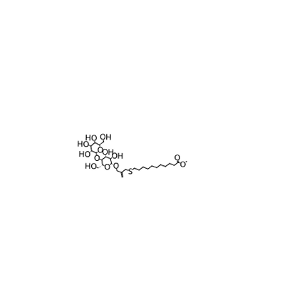 C=C(CO[C@@H]1O[C@H](CO)[C@@H](O[C@@H]2O[C@H](CO)[C@H](O)[C@H](O)[C@H]2O)[C@H](O)[C@H]1O)CSCCCCCCCCCCC(=O)OC